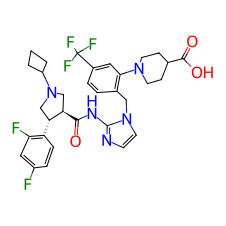 O=C(O)C1CCN(c2cc(C(F)(F)F)ccc2Cn2ccnc2NC(=O)[C@@H]2CN(C3CCC3)C[C@H]2c2ccc(F)cc2F)CC1